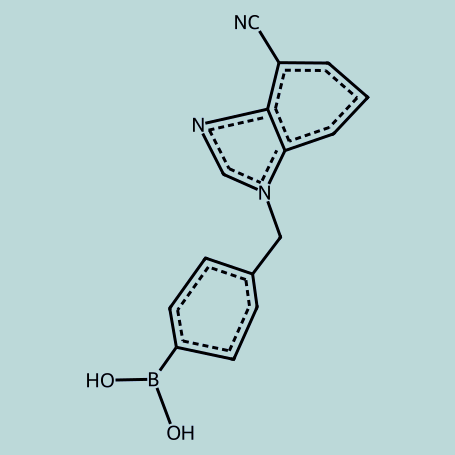 N#Cc1cccc2c1ncn2Cc1ccc(B(O)O)cc1